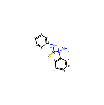 NN(C(=S)Nc1ccccc1)c1ccccc1